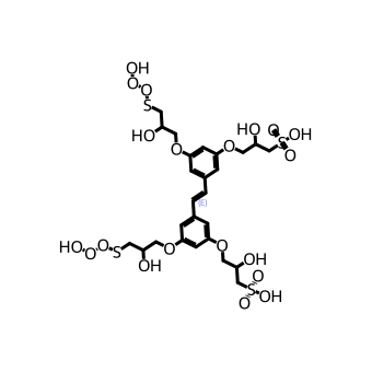 O=S(=O)(O)CC(O)COc1cc(/C=C/c2cc(OCC(O)CSOOO)cc(OCC(O)CS(=O)(=O)O)c2)cc(OCC(O)CSOOO)c1